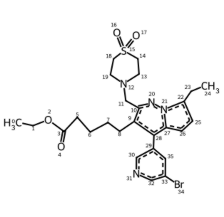 CCOC(=O)CCCCc1c(CN2CCS(=O)(=O)CC2)nn2c(CC)ccc2c1-c1cncc(Br)c1